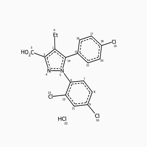 CCc1c(C(=O)O)nn(-c2ccc(Cl)cc2Cl)c1-c1ccc(Cl)cc1.Cl